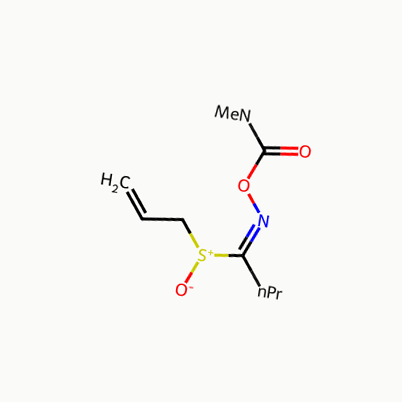 C=CC[S+]([O-])C(CCC)=NOC(=O)NC